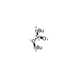 CCCC[O][Sn](=[O])[CH2]CCC